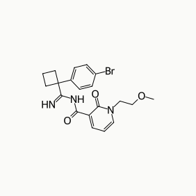 COCCn1cccc(C(=O)NC(=N)C2(c3ccc(Br)cc3)CCC2)c1=O